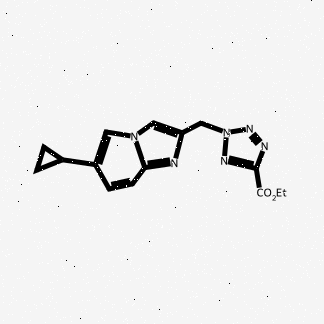 CCOC(=O)c1nnn(Cc2cn3cc(C4CC4)ccc3n2)n1